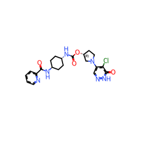 O=C(N[C@H]1CC[C@H](NC(=O)c2ccccn2)CC1)O[C@@H]1CCN(c2cn[nH]c(=O)c2Cl)C1